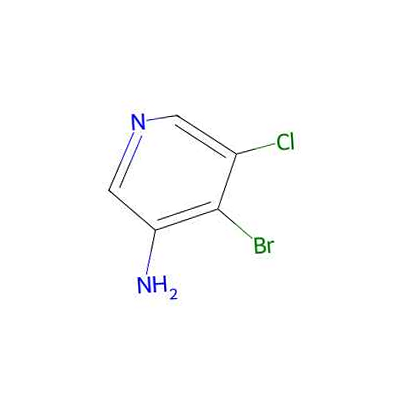 Nc1cncc(Cl)c1Br